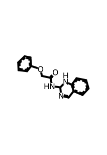 O=C(COc1ccccc1)NC1N=Cc2ccccc2N1